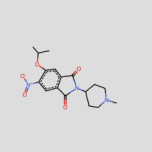 CC(C)Oc1cc2c(cc1[N+](=O)[O-])C(=O)N(C1CCN(C)CC1)C2=O